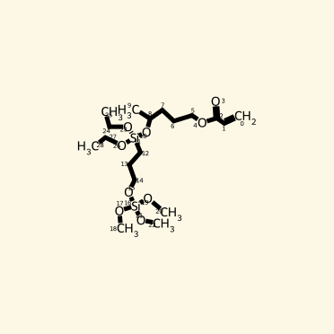 C=CC(=O)OCCCC(C)O[Si](CCCO[Si](OC)(OC)OC)(OCC)OCC